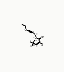 CCOC#COOC(=O)/C(C)=C\C(C)(C)C